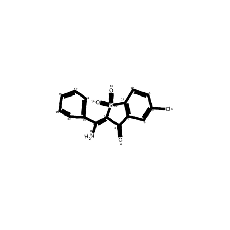 NC(=C1C(=O)c2cc(Cl)ccc2S1(=O)=O)c1ccccc1